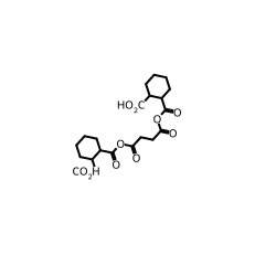 O=C(CCC(=O)OC(=O)C1CCCCC1C(=O)O)OC(=O)C1CCCCC1C(=O)O